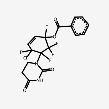 O=C1CCN(C2(F)C(F)(Cl)C=CC(F)(OC(=O)c3ccccc3)C2(F)F)C(=O)N1